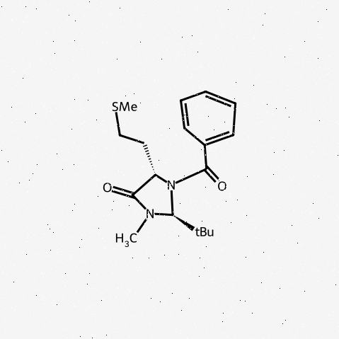 CSCC[C@H]1C(=O)N(C)[C@H](C(C)(C)C)N1C(=O)c1ccccc1